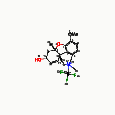 COc1ccc2c3c1O[C@H]1C[C@@H](O)C=C[C@@]31CC[N+](C)([B-](F)(F)F)C2